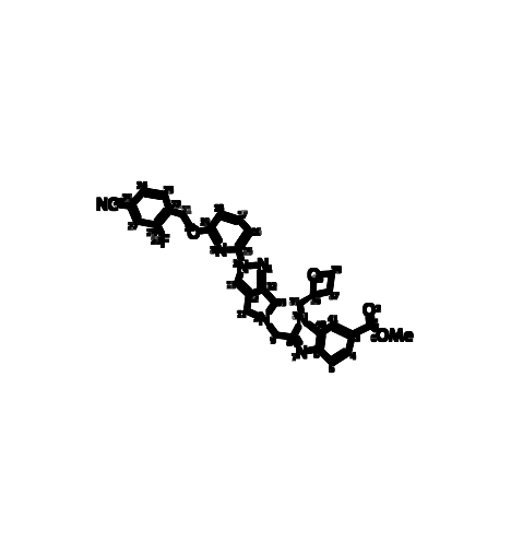 COC(=O)c1ccc2nc(CN3Cc4cn(-c5cccc(OCc6ccc(C#N)cc6F)n5)nc4C3)n(C[C@@H]3CCO3)c2c1